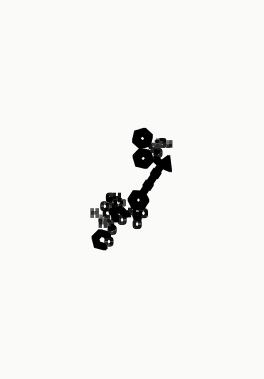 CC(C)(C)[Si](OCC1(C#CC#Cc2ccc3c(c2)oc(=O)n3CCC(C)(C(=O)NOC2CCCCO2)S(C)(=O)=O)CC1)(c1ccccc1)c1ccccc1